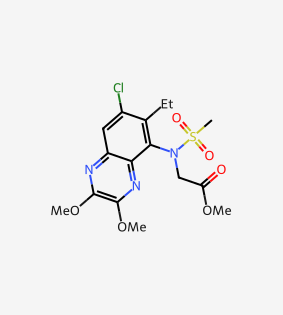 CCc1c(Cl)cc2nc(OC)c(OC)nc2c1N(CC(=O)OC)S(C)(=O)=O